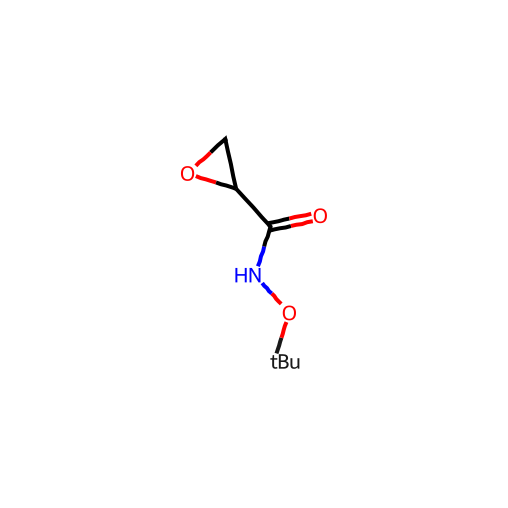 CC(C)(C)ONC(=O)C1CO1